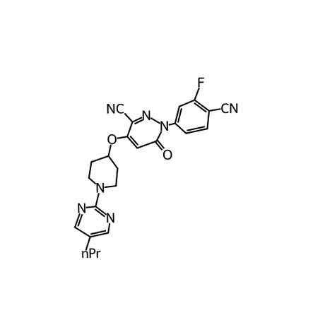 CCCc1cnc(N2CCC(Oc3cc(=O)n(-c4ccc(C#N)c(F)c4)nc3C#N)CC2)nc1